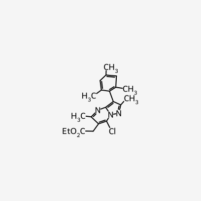 CCOC(=O)Cc1c(C)nc2c(-c3c(C)cc(C)cc3C)c(C)nn2c1Cl